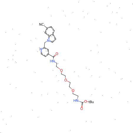 CC(C)(C)OC(=O)NCCOCCOCCOCCNC(=O)c1ccnc(Cn2ccc3ccc(C#N)cc32)c1